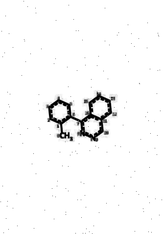 Cc1ccccc1-c1nncc2ccccc12